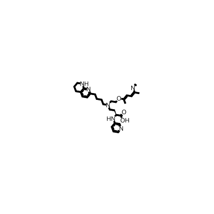 C=N/C(C)=C\C=C(/C)OCCN(CCCCc1ccc2c(n1)NCCC2)CC[C@H](Nc1cccnc1)C(=O)O